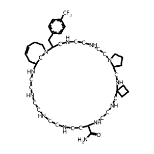 NC(=O)C1CCNCCNCCNCCNC2CC=CCCN(C2)C(Cc2ccc(C(F)(F)F)cc2)CNCCNCCN2CCCC2CNC2(CCC2)CNCCN1